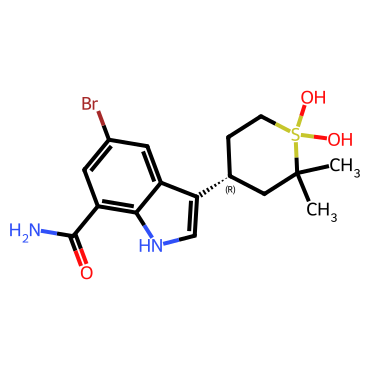 CC1(C)C[C@H](c2c[nH]c3c(C(N)=O)cc(Br)cc23)CCS1(O)O